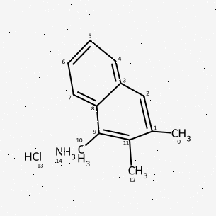 Cc1cc2ccccc2c(C)c1C.Cl.N